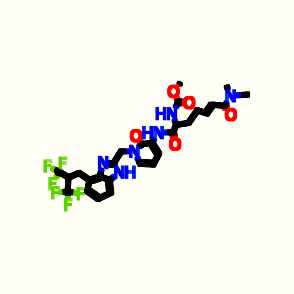 COC(=O)NC(CCC=CC(=O)N(C)C)C(=O)Nc1cccn(Cc2nc3c(CC(C(F)(F)F)C(F)(F)F)cccc3[nH]2)c1=O